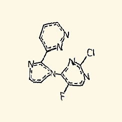 Fc1cnc(Cl)nc1-n1ccnc1-c1cccnn1